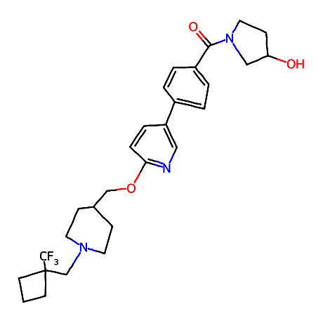 O=C(c1ccc(-c2ccc(OCC3CCN(CC4(C(F)(F)F)CCC4)CC3)nc2)cc1)N1CCC(O)C1